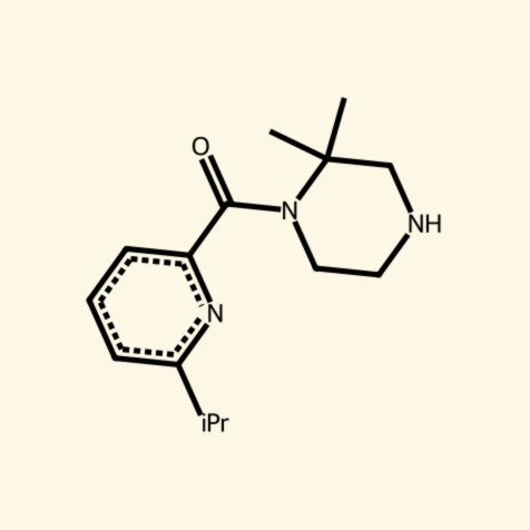 CC(C)c1cccc(C(=O)N2CCNCC2(C)C)n1